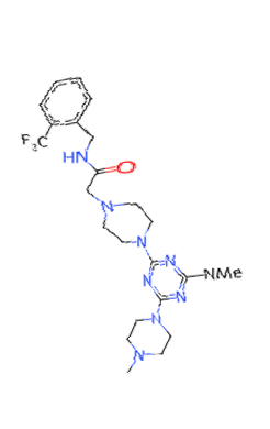 CNc1nc(N2CCN(C)CC2)nc(N2CCN(CC(=O)NCc3ccccc3C(F)(F)F)CC2)n1